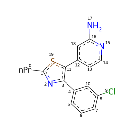 CCCc1nc(-c2cccc(Cl)c2)c(-c2ccnc(N)c2)s1